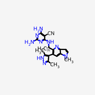 Cc1n[nH]c(C)c1-c1cc2c(ccn2C)nc1[C@H](C)Nc1nc(N)nc(N)c1C#N